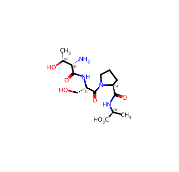 C[C@H](NC(=O)[C@@H]1CCCN1C(=O)[C@H](CO)NC(=O)[C@@H](N)[C@@H](C)O)C(=O)O